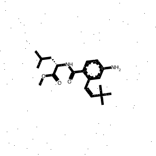 COC(=O)[C@H](CC(C)C)NC(=O)c1ccc(N)cc1/C=C\C(C)(C)C